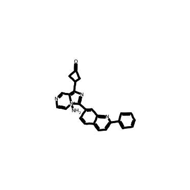 N[N+]12C=CN=CC1=C(C1CC(=O)C1)N=C2c1ccc2ccc(-c3ccccc3)nc2c1